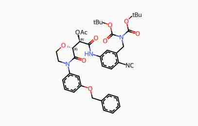 [C-]#[N+]c1ccc(NC(=O)[C@H](OC(C)=O)[C@H]2OCCN(c3cccc(OCc4ccccc4)c3)C2=O)cc1CN(C(=O)OC(C)(C)C)C(=O)OC(C)(C)C